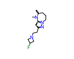 C=C1CCCn2nc(CCN3CC(F)C3)cc2N1C